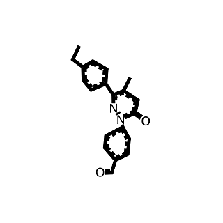 CCc1ccc(-c2nn(-c3ccc(C=O)cc3)c(=O)cc2C)cc1